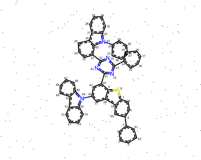 c1ccc(-c2ccc3sc4c(-c5nc(-c6ccccc6)nc(-c6cccc7c8ccccc8n(-c8ccccc8)c67)n5)cc(-n5c6ccccc6c6ccccc65)cc4c3c2)cc1